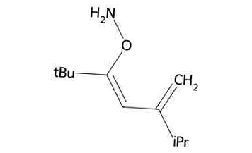 C=C(/C=C(\ON)C(C)(C)C)C(C)C